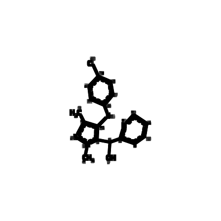 Cc1nn(C)c(C(O)c2ccccn2)c1Sc1ccc(Cl)cc1